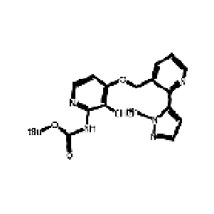 CC(C)n1nccc1-c1ncccc1COc1ccnc(NC(=O)OC(C)(C)C)c1C=O